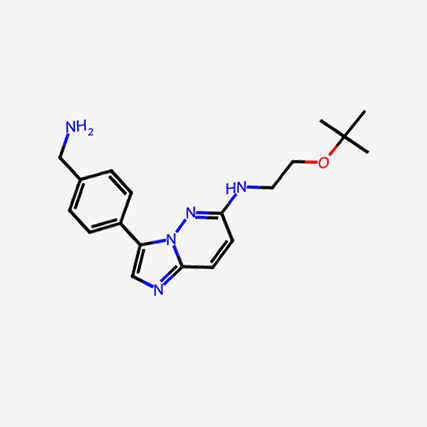 CC(C)(C)OCCNc1ccc2ncc(-c3ccc(CN)cc3)n2n1